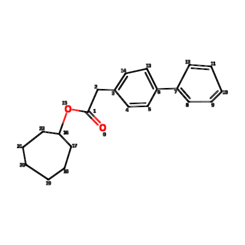 O=C(Cc1ccc(-c2ccccc2)cc1)OC1CCCCCC1